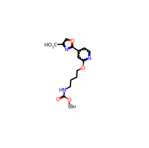 CC(C)(C)OC(=O)NCCCCOc1cc(-c2nc(C(=O)O)co2)ccn1